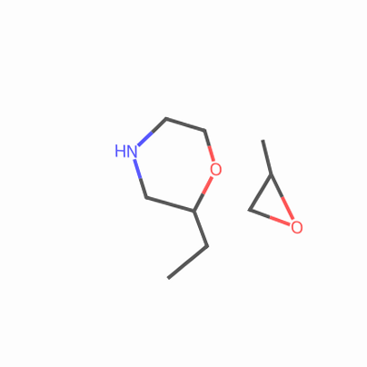 CC1CO1.CCC1CNCCO1